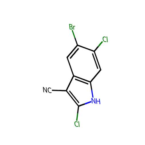 N#Cc1c(Cl)[nH]c2cc(Cl)c(Br)cc12